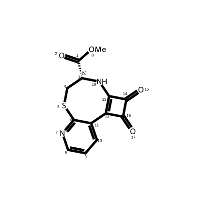 COC(=O)[C@H]1CSc2ncccc2-c2c(c(=O)c2=O)N1